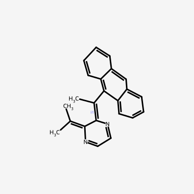 CC(C)=c1nccn/c1=C(/C)c1c2ccccc2cc2ccccc12